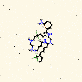 C=C(NCCN(C)C(CC=C/C=C(\C=C/C)C(F)(F)F)NC(C)/C=C/C=N\N(C)CCN(C)CCC(F)(F)CCC)C1=CCCC=C(N(C)C)S1